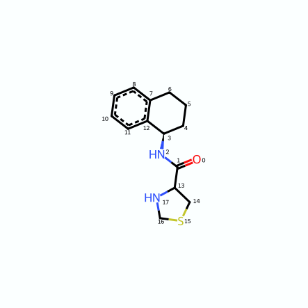 O=C(N[C@@H]1CCCc2ccccc21)C1CSCN1